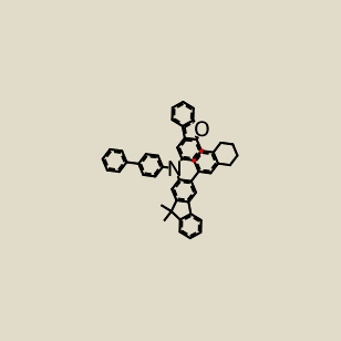 CC1(C)c2ccccc2-c2cc(-c3ccc4c(c3)CCCC4)c(N(c3ccc(-c4ccccc4)cc3)c3ccc4oc5ccccc5c4c3)cc21